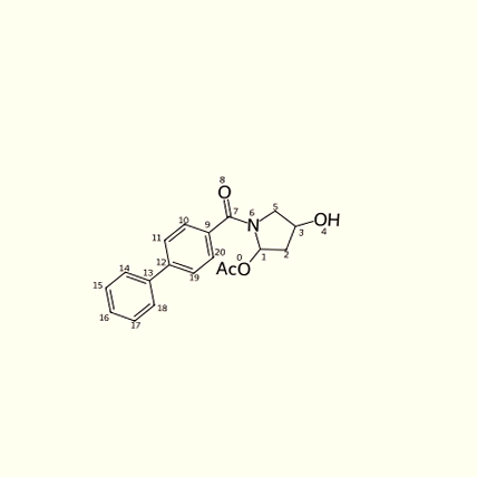 CC(=O)OC1CC(O)CN1C(=O)c1ccc(-c2ccccc2)cc1